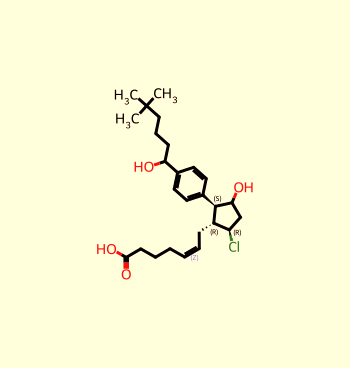 CC(C)(C)CCCC(O)c1ccc([C@H]2C(O)C[C@@H](Cl)[C@@H]2C/C=C\CCCC(=O)O)cc1